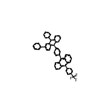 FC(F)(F)c1ccc(-c2c3ccccc3c(-c3ccc(-c4c5ccccc5c(-c5ccccc5)c5cc(-c6ccccc6)ccc45)cc3)c3ccccc23)cc1